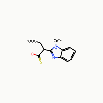 O=C([O-])CC(C([O-])=S)c1nc2ccccc2[nH]1.[Co+2]